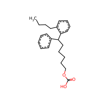 CCCCc1ccccc1C(CCCCCOC(=O)O)c1ccccc1